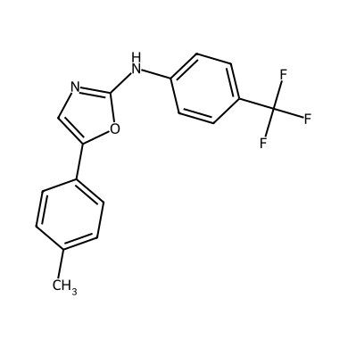 Cc1ccc(-c2cnc(Nc3ccc(C(F)(F)F)cc3)o2)cc1